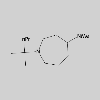 CCCC(C)(C)N1CCCC(NC)CC1